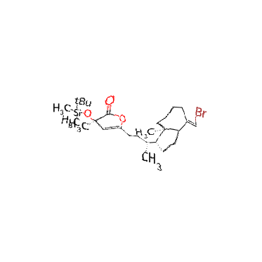 C[C@H](CCC1=C[C@@](C)(O[Si](C)(C)C(C)(C)C)C(=O)O1)[C@H]1CCC2C(=CBr)CCC[C@@]21C